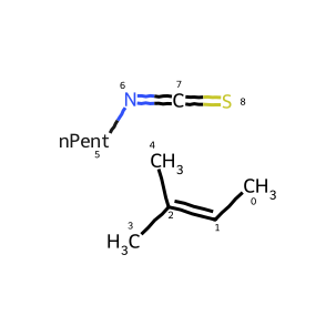 CC=C(C)C.CCCCCN=C=S